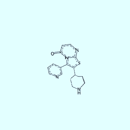 O=c1ccnc2sc(C3CCNCC3)c(-c3cccnc3)n12